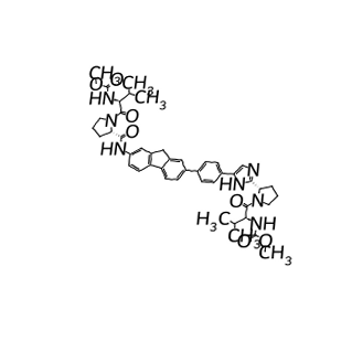 COC(=O)N[C@H](C(=O)N1CCC[C@H]1C(=O)Nc1ccc2c(c1)Cc1cc(-c3ccc(-c4cnc([C@@H]5CCCN5C(=O)[C@@H](NC(=O)OC)C(C)C)[nH]4)cc3)ccc1-2)C(C)C